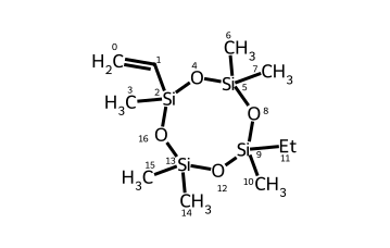 C=C[Si]1(C)O[Si](C)(C)O[Si](C)(CC)O[Si](C)(C)O1